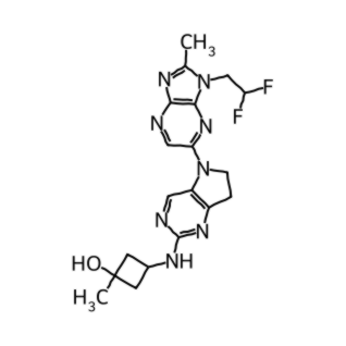 Cc1nc2ncc(N3CCc4nc(NC5CC(C)(O)C5)ncc43)nc2n1CC(F)F